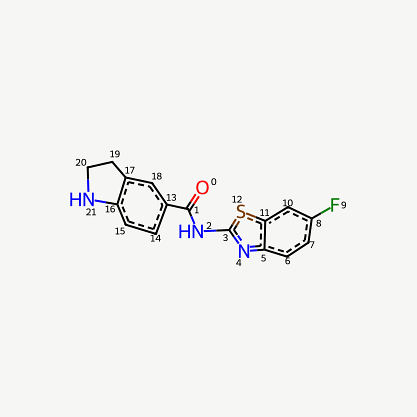 O=C(Nc1nc2ccc(F)cc2s1)c1ccc2c(c1)CCN2